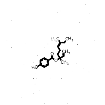 C=CC(C)(CCC=C(C)CC)OC(=O)c1ccc(O)cc1